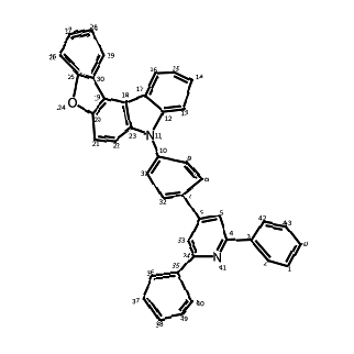 c1ccc(-c2cc(-c3ccc(-n4c5ccccc5c5c6c(ccc54)oc4ccccc46)cc3)cc(-c3ccccc3)n2)cc1